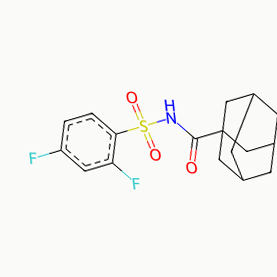 O=C(NS(=O)(=O)c1ccc(F)cc1F)C12CC3CC(CC(C3)C1)C2